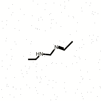 C/C=N/CNCC